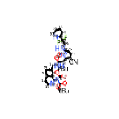 CC(C)(C)OC(=O)N(C(=O)OC(C)(C)C)c1nccc2ccc(CNC(=O)Cc3c(C#N)ccc(NCC(F)(F)c4ccccn4)[n+]3[O-])cc12